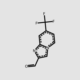 O=Cc1cn2ccc(C(F)(F)F)cc2n1